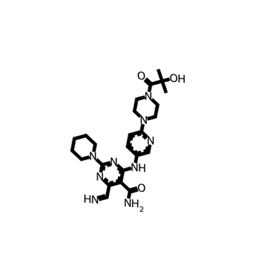 CC(C)(O)C(=O)N1CCN(c2ccc(Nc3nc(N4CCCCC4)nc(C=N)c3C(N)=O)cn2)CC1